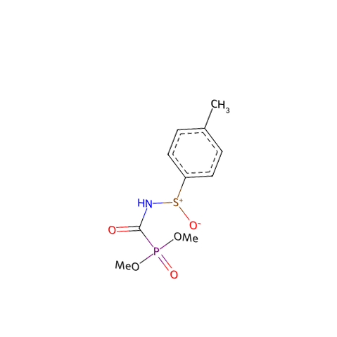 COP(=O)(OC)C(=O)N[S+]([O-])c1ccc(C)cc1